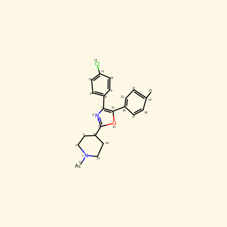 CC(=O)N1CCC(c2nc(-c3ccc(Cl)cc3)c(-c3ccc(C)cc3)o2)CC1